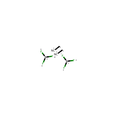 CC#N.CC#N.FB(F)F.FB(F)F